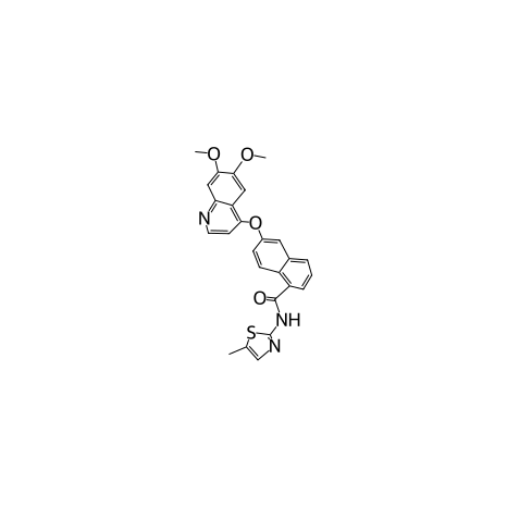 COc1cc2nccc(Oc3ccc4c(C(=O)Nc5ncc(C)s5)cccc4c3)c2cc1OC